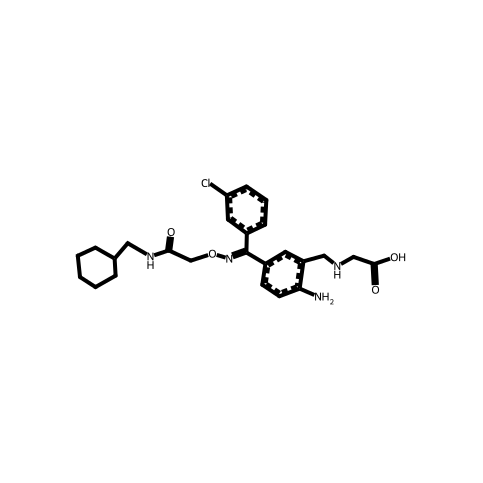 Nc1ccc(C(=NOCC(=O)NCC2CCCCC2)c2cccc(Cl)c2)cc1CNCC(=O)O